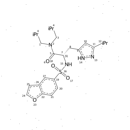 CC(C)CN(CC(C)C)C(=O)[C@H](Cc1cc(C(C)C)n[nH]1)NS(=O)(=O)c1ccc2occc2c1